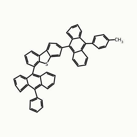 Cc1ccc(-c2c3ccccc3c(-c3ccc4c(c3)sc3c(-c5c6ccccc6c(-c6ccccc6)c6ccccc56)cccc34)c3ccccc23)cc1